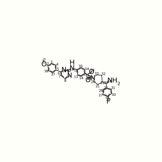 COc1ccc(-c2ccnc(Nc3ccc(S(=O)(=O)N4CCC([C@@H](N)c5ccc(F)cc5)CC4)cc3)n2)cc1